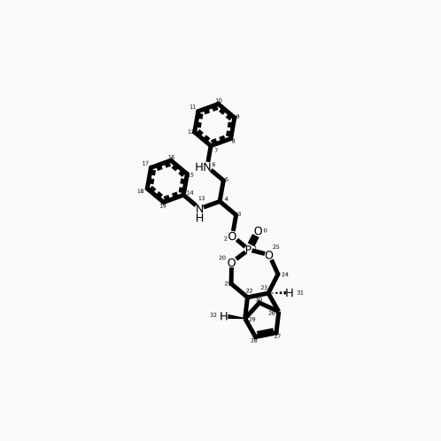 O=P1(OCC(CNc2ccccc2)Nc2ccccc2)OCC2[C@@H](CO1)C1C=C[C@H]2C1